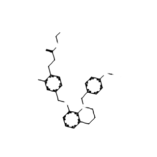 CCOC(=O)CCc1ccc(COc2cccc3c2N(Cc2ccc(OC)cc2)CCC3)cc1F